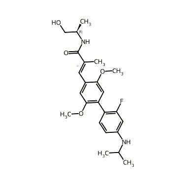 COc1cc(-c2ccc(NC(C)C)cc2F)c(OC)cc1/C=C(\C)C(=O)N[C@H](C)CO